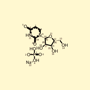 O=P([O-])(O)O.O=c1ccn([C@@H]2O[C@H](CO)[C@@H](O)[C@H]2O)c(=O)[nH]1.[Na+]